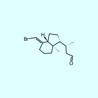 C[C@H](CC=O)[C@H]1CC[C@H]2/C(=C/Br)CCC[C@]12C